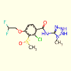 CN1NNN=C1NC(=O)c1ccc(OCC(F)F)c([S+](C)[O-])c1Cl